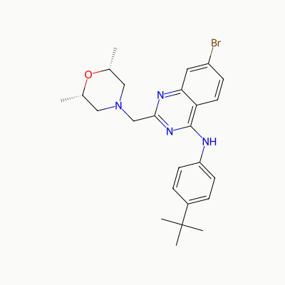 C[C@@H]1CN(Cc2nc(Nc3ccc(C(C)(C)C)cc3)c3ccc(Br)cc3n2)C[C@H](C)O1